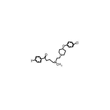 CN(CCCC(=O)c1ccc(F)cc1)CCN1CCC(Oc2ccc(Cl)cc2)CC1